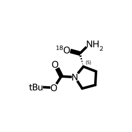 CC(C)(C)OC(=O)N1CCC[C@H]1C(N)=[18O]